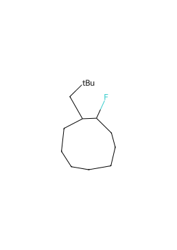 CC(C)(C)CC1CCCCCCCC1F